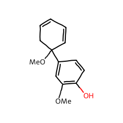 COc1cc(C2(OC)C=CC=CC2)ccc1O